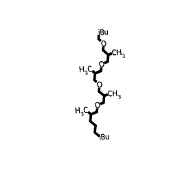 CCC(C)CCCC(C)COCC(C)COCC(C)COCC(C)COCC(C)CC